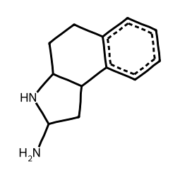 NC1CC2c3ccccc3CCC2N1